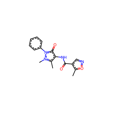 Cc1oncc1C(=O)Nc1c(C)n(C)n(-c2ccccc2)c1=O